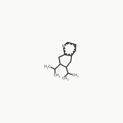 CC(C)C1Cc2cccnc2CC1C(C)C